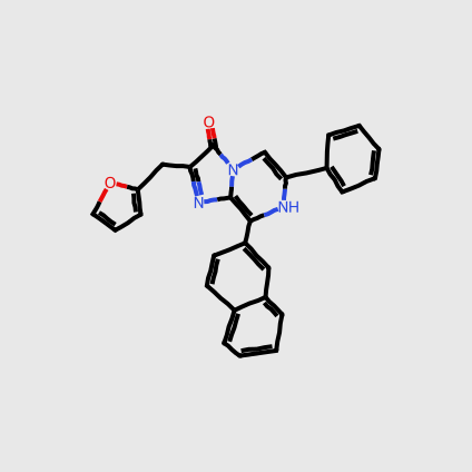 O=c1c(Cc2ccco2)nc2c(-c3ccc4ccccc4c3)[nH]c(-c3ccccc3)cn1-2